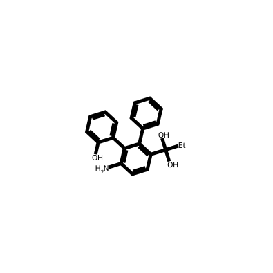 CCC(O)(O)c1ccc(N)c(-c2ccccc2O)c1-c1ccccc1